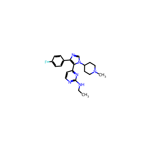 CCNc1nccc(-c2c(-c3ccc(F)cc3)ncn2C2CCN(C)CC2)n1